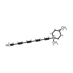 C#CC#CC#CC#CC#C[N+]1(C)CCC(C)CC1